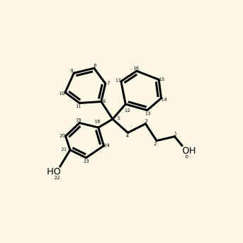 OCCCCC(c1ccccc1)(c1ccccc1)c1ccc(O)cc1